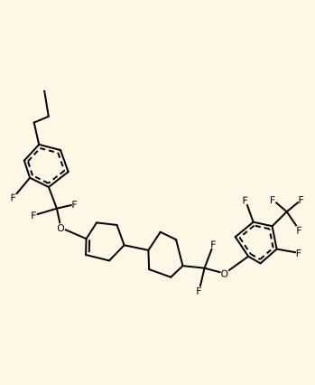 CCCc1ccc(C(F)(F)OC2=CCC(C3CCC(C(F)(F)Oc4cc(F)c(C(F)(F)F)c(F)c4)CC3)CC2)c(F)c1